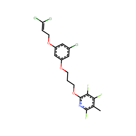 Cc1c(F)nc(OCCCOc2cc(Cl)cc(OCC=C(Cl)Cl)c2)c(F)c1F